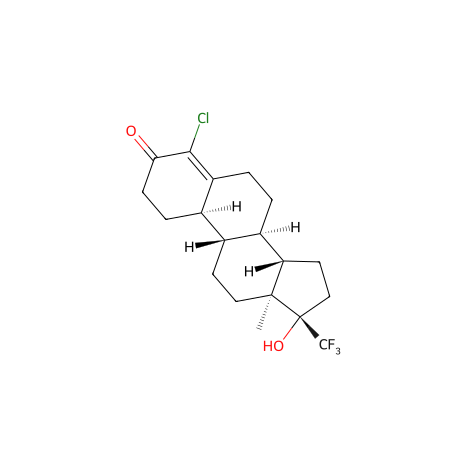 C[C@]12CC[C@H]3[C@@H](CCC4=C(Cl)C(=O)CC[C@@H]43)[C@@H]1CC[C@@]2(O)C(F)(F)F